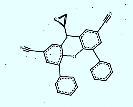 N#Cc1cc(CC2CO2)c(Oc2c(CC3CO3)cc(C#N)cc2-c2ccccc2)c(-c2ccccc2)c1